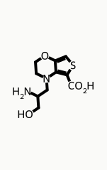 NC(CO)CN1CCOc2csc(C(=O)O)c21